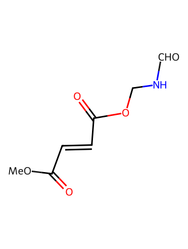 COC(=O)/C=C/C(=O)OCNC=O